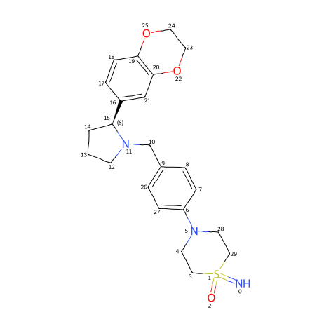 N=S1(=O)CCN(c2ccc(CN3CCC[C@H]3c3ccc4c(c3)OCCO4)cc2)CC1